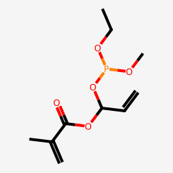 C=CC(OC(=O)C(=C)C)OP(OC)OCC